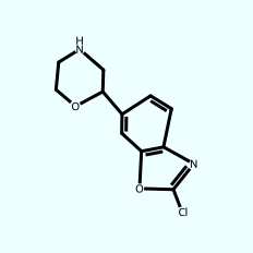 Clc1nc2ccc(C3CNCCO3)cc2o1